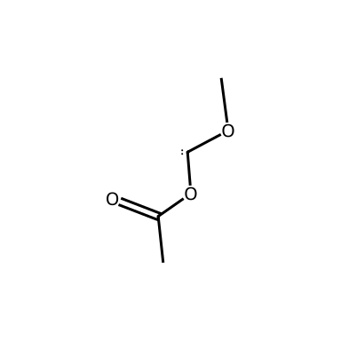 CO[C]OC(C)=O